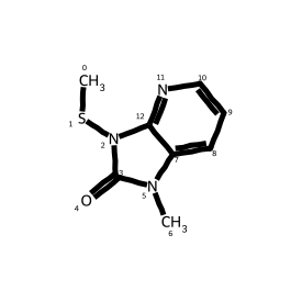 CSn1c(=O)n(C)c2cccnc21